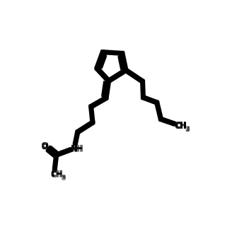 CCCCCC1=CC=CC1=CCCCNC(C)=O